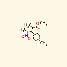 COC(=O)C(C)[C@@H](c1ccc(C)cc1)C(C)[N+](=O)[O-]